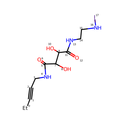 CCC#CCNC(=O)C(O)C(O)C(=O)NCCNI